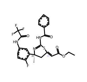 CCOC(=O)/C=C1/C[C@@](C)(c2cc(NC(=O)C(F)(F)F)ccc2F)N=C(NC(=O)c2ccccc2)S1